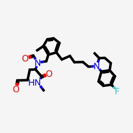 CNC(=O)C(CCC=O)N(C=O)Cc1c(C)cccc1CCCCCN1c2ccc(F)cc2CCC1C